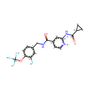 O=C(NCc1ccc(OC(F)(F)F)c(F)c1)c1ccnc(NC(=O)C2CC2)c1